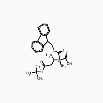 CC(C)(C)OC(=O)CC(N)[C@@](N)(C(=O)O)C(=O)OCC1c2ccccc2-c2ccccc21